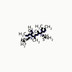 C=C\C=C/C(=C\C=C)C(=N\NC(N)=S)/C(C=C)=C/C=C(C=C)/C(=N/CCNC(N)=S)C(/C=C\C)=C\C=C/C